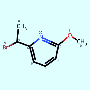 COc1cccc(C(C)Br)n1